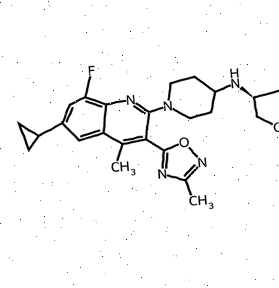 Cc1noc(-c2c(N3CCC(N[C@H]4CCOC4)CC3)nc3c(F)cc(C4CC4)cc3c2C)n1